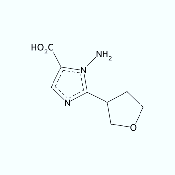 Nn1c(C(=O)O)cnc1C1CCOC1